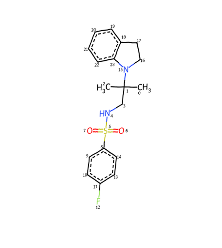 CC(C)(CNS(=O)(=O)c1ccc(F)cc1)N1CCc2ccccc21